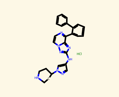 Cl.c1ccc(-c2ccccc2-c2nccn3nc(Nc4cnn(C5CCNCC5)c4)nc23)cc1